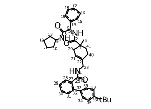 CC1(C(=O)N[C@H](C(=O)NC2CCCC2)c2ccccc2)CC=C(CNC(=O)c2ccccc2-c2ccc(C(C)(C)C)cc2)CC1